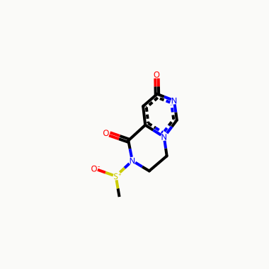 C[S+]([O-])N1CCn2cnc(=O)cc2C1=O